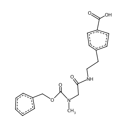 CN(CC(=O)NCCc1ccc(C(=O)O)cc1)C(=O)OCc1ccccc1